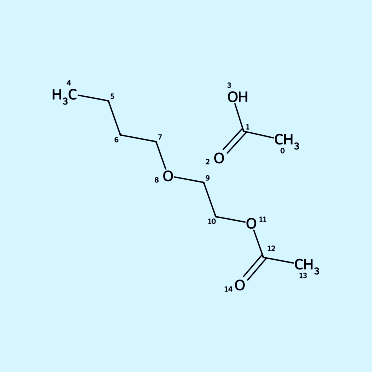 CC(=O)O.CCCCOCCOC(C)=O